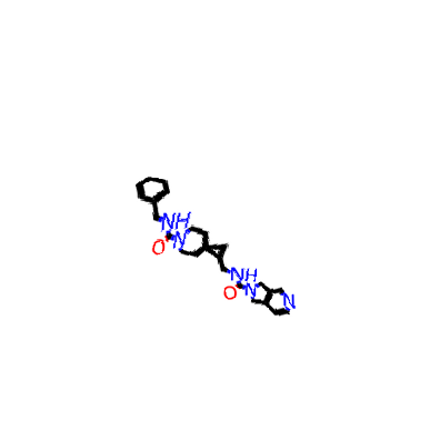 O=C(NCC1=CCCC=C1)N1CCC2(CC1)CC2CNC(=O)N1Cc2ccncc2C1